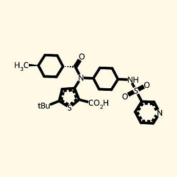 CC(C)(C)c1cc(N(C(=O)[C@H]2CC[C@H](C)CC2)C2CCC(NS(=O)(=O)c3cccnc3)CC2)c(C(=O)O)s1